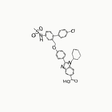 CS(=O)(=O)Nc1ccc(-c2ccc(Cl)cc2)c(COc2ccc(-c3nc4cc(C(=O)O)ccc4n3C3CCCCC3)cc2)c1